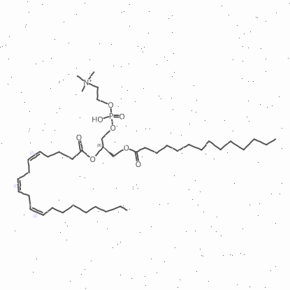 CCCCCCCC/C=C\C/C=C\C/C=C\CCCC(=O)O[C@H](COC(=O)CCCCCCCCCCCCC)COP(=O)(O)OCC[N+](C)(C)C